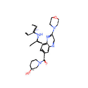 C=C/C(=C\C)NC(C)c1cc(C(=O)N2CCC[C@H](O)C2)cc2ncc(N3CCOCC3)nc12